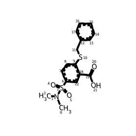 CN(C)S(=O)(=O)c1ccc(SCc2ccccc2)c(C(=O)O)c1